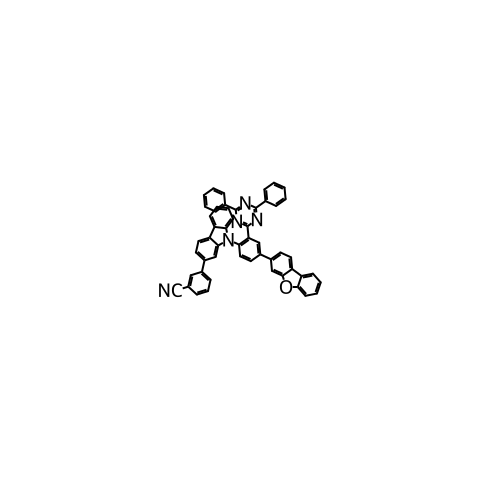 N#Cc1cccc(-c2ccc3c4ccccc4n(-c4ccc(-c5ccc6c(c5)oc5ccccc56)cc4-c4nc(-c5ccccc5)nc(-c5ccccc5)n4)c3c2)c1